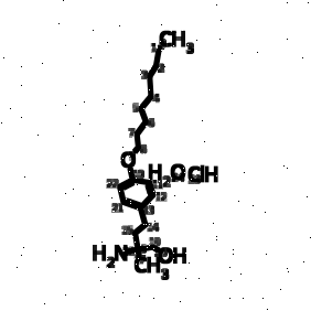 CCCCCCCCCOc1ccc(CCC(C)(N)CO)cc1.Cl.O